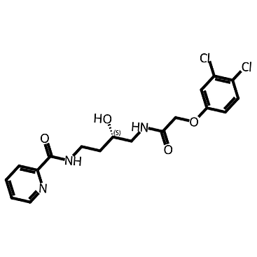 O=C(COc1ccc(Cl)c(Cl)c1)NC[C@@H](O)CCNC(=O)c1ccccn1